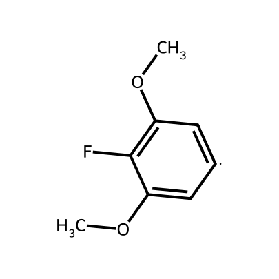 COc1c[c]cc(OC)c1F